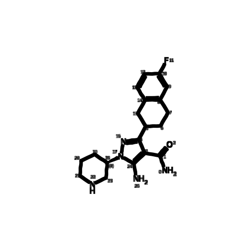 NC(=O)c1c(C2CCc3cc(F)ccc3C2)nn([C@@H]2CCCNC2)c1N